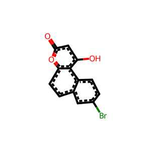 O=c1cc(O)c2c(ccc3cc(Br)ccc32)o1